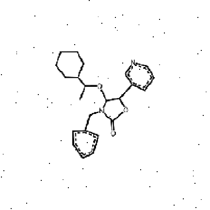 CC(OC1C(c2cccnc2)OC(=O)N1Cc1ccccc1)C1CCCCC1